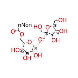 CCCCCCCCCC(=O)OCC1O[C@H](COC[C@]2(CO)O[C@@H](CO)[C@@H](O)C2O)C(O)[C@@H](O)[C@H]1O